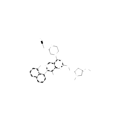 CO[C@@H]1C[C@@H](COc2nc(N3CCN[C@@H](CC#N)C3)c3cnc(-c4cccc5cccc(C)c45)c(F)c3n2)N(C)C1